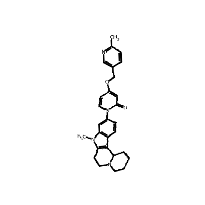 Cc1ccc(COc2ccn(-c3ccc4c5c(n(C)c4c3)CCN3CCCCC53)c(=O)c2)cn1